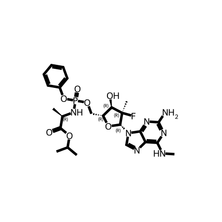 CNc1nc(N)nc2c1ncn2[C@@H]1O[C@H](COP(=O)(N[C@H](C)C(=O)OC(C)C)Oc2ccccc2)[C@@H](O)[C@@]1(C)F